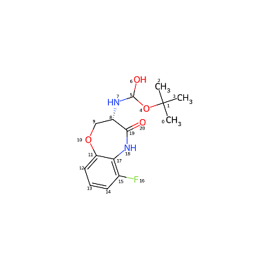 CC(C)(C)OC(O)N[C@H]1COc2cccc(F)c2NC1=O